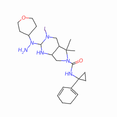 CC1(C)C2CN(I)C(N(N)C3CCOCC3)NC2CN1C(=O)NC1(C2=CCCC=C2)CC1